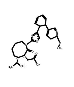 COC1CC=C(C2C=CC=CC2c2csc(N3CCCC[C@H](C(C)C)[C@H](CC(=O)O)C3=O)n2)C=N1